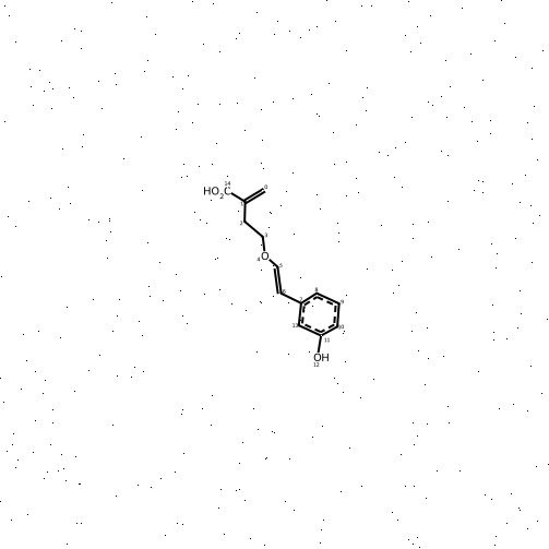 C=C(CCOC=Cc1cccc(O)c1)C(=O)O